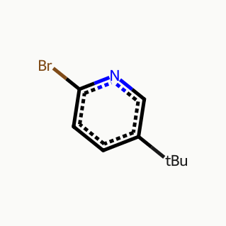 CC(C)(C)c1ccc(Br)nc1